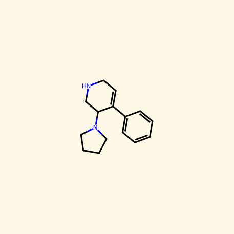 [C]1NCC=C(c2ccccc2)C1N1CCCC1